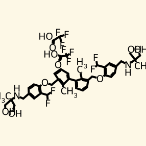 Cc1c(COc2ccc(CNC(C)(CO)CO)cc2C(F)F)cccc1-c1cccc(COc2ccc(CNC(C)(CO)CO)cc2C(F)F)c1C.O=C(O)C(F)(F)F.O=C(O)C(F)(F)F